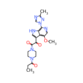 CCC(=O)N1CCN(C(=O)C(=O)c2c[nH]c3c(-n4cnc(C)n4)ncc(OC)c23)CC1